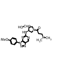 COc1ccc(-n2nnc3cnc(N[C@H]4CCN(C(=O)CCN(C)C)C4)nc32)cc1.O=CO